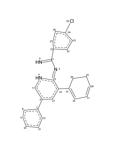 N=C(/N=c1\[nH]cc(-c2ccccc2)cc1C1=CC=CCC1)c1ccc(Cl)cc1